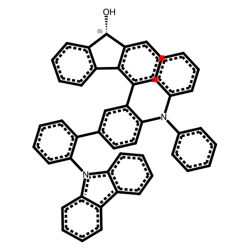 O[C@H]1c2ccccc2-c2c(-c3cc(-c4ccccc4-n4c5ccccc5c5ccccc54)ccc3N(c3ccccc3)c3ccccc3)cccc21